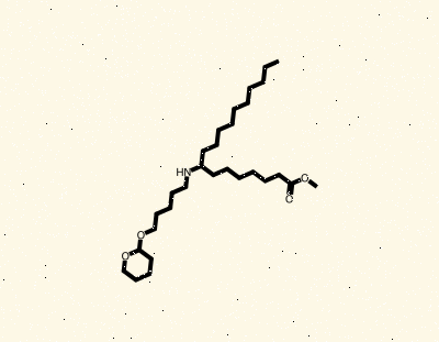 CCCCCCCCCCC(CCCCCCC(=O)OC)NCCCCCOC1CCCCO1